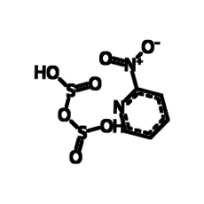 O=S(O)OS(=O)O.O=[N+]([O-])c1ccccn1